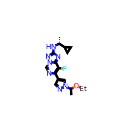 CCOC(C)n1cc(-c2ncn3nc(N[C@H](C)C4CC4)nc3c2F)cn1